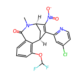 CN1C(=O)c2cccc(OC(F)F)c2[C@H]2C[C@@H]1C([N+](=O)[O-])=C2c1cc(Cl)ccn1